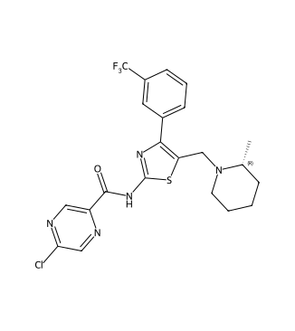 C[C@@H]1CCCCN1Cc1sc(NC(=O)c2cnc(Cl)cn2)nc1-c1cccc(C(F)(F)F)c1